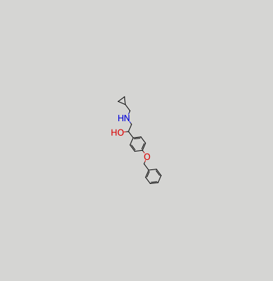 OC(CNCC1CC1)c1ccc(OCc2ccccc2)cc1